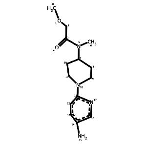 COCC(=O)N(C)C1CCN(c2ccc(N)cn2)CC1